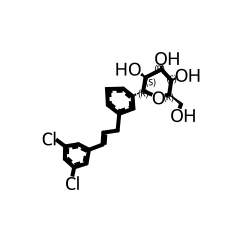 OC[C@H]1O[C@H](c2cccc(CC=Cc3cc(Cl)cc(Cl)c3)c2)[C@@H](O)[C@@H](O)[C@@H]1O